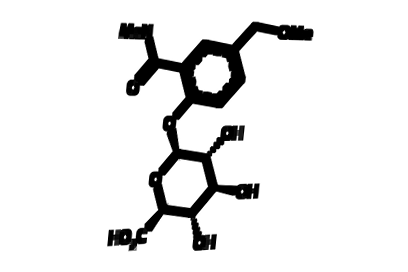 CNC(=O)c1cc(COC)ccc1O[C@@H]1O[C@H](C(=O)O)[C@@H](O)[C@H](O)[C@H]1O